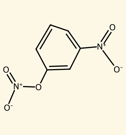 O=[N+]([O-])Oc1cccc([N+](=O)[O-])c1